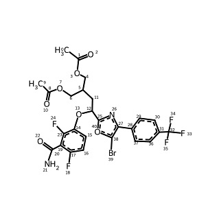 CC(=O)OCC(COC(C)=O)CC(Oc1ccc(F)c(C(N)=O)c1F)c1nc(-c2ccc(C(F)(F)F)cc2)c(Br)o1